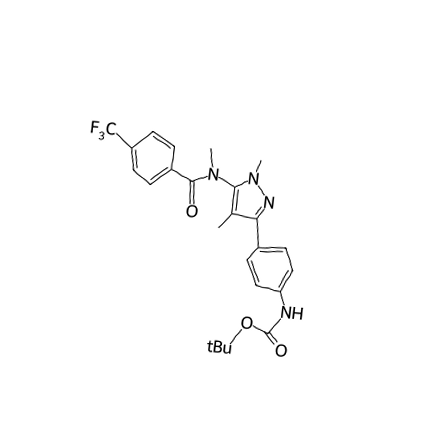 Cc1c(-c2ccc(NC(=O)OC(C)(C)C)cc2)nn(C)c1N(C)C(=O)c1ccc(C(F)(F)F)cc1